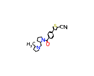 CC1CCCN1CC1CCCN1C(=O)c1ccc(-c2csc(C#N)c2)cc1